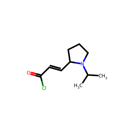 CC(C)N1CCCC1C=CC(=O)Cl